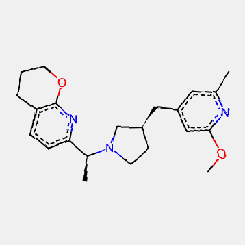 COc1cc(C[C@H]2CCN([C@@H](C)c3ccc4c(n3)OCCC4)C2)cc(C)n1